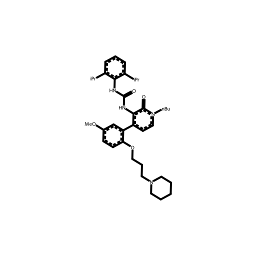 CCCCn1ccc(-c2cc(OC)ccc2OCCCN2CCCCC2)c(NC(=O)Nc2c(C(C)C)cccc2C(C)C)c1=O